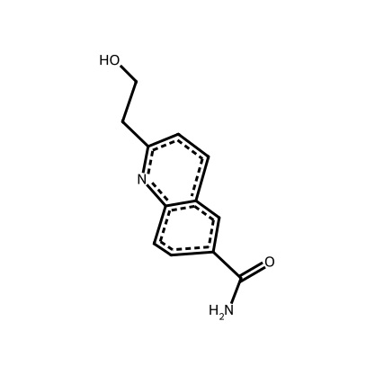 NC(=O)c1ccc2nc(CCO)ccc2c1